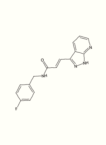 O=C(C=Cc1n[nH]c2ncccc12)NCc1ccc(F)cc1